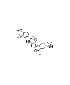 COC(=O)C1CC(NC(C)(C)C)CCC1N1CC[C@H](NC(=O)c2ccc(O)c(C(C)(C)C)c2)C1=O